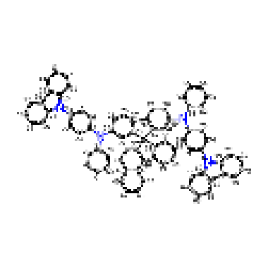 c1ccc(N(c2ccc(-n3c4ccccc4c4ccccc43)cc2)c2ccc3c(c2)C(c2ccccc2)(c2ccc4ccccc4c2)c2cc(N(c4ccccc4)c4ccc(-n5c6ccccc6c6ccccc65)cc4)ccc2-3)cc1